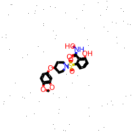 O=C(NO)c1c(O)cccc1S(=O)(=O)N1CCC(Oc2ccc3c(c2)OCO3)CC1